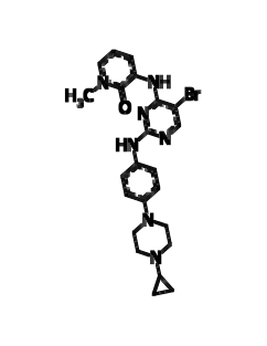 Cn1cccc(Nc2nc(Nc3ccc(N4CCN(C5CC5)CC4)cc3)ncc2Br)c1=O